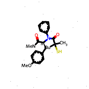 CCC(C)C(C)(S)C(=O)N(c1ccccc1)[C@@H](Cc1ccc(OC)cc1)C(=O)NC